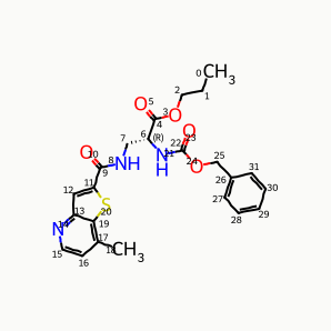 CCCOC(=O)[C@@H](CNC(=O)c1cc2nccc(C)c2s1)NC(=O)OCc1ccccc1